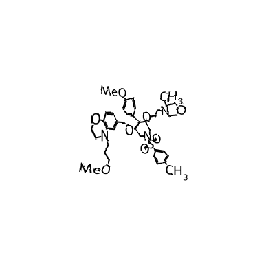 COCCCN1CCOc2ccc(CO[C@H]3CN(S(=O)(=O)c4ccc(C)cc4)C[C@@H](OCCN4CCOCC4C)[C@@H]3c3ccc(OC)cc3)cc21